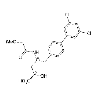 COCC(=O)N[C@H](Cc1ccc(-c2cc(Cl)cc(Cl)c2)cc1)C[C@@H](O)C(=O)O